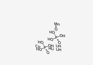 O=P(O)(O)O.O=P(O)(O)O.[Co].[LiH].[LiH].[LiH].[O]=[Mn]